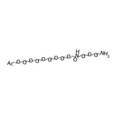 CC(=O)CCOCCOCCOCCOCCOCCOCCOCCOCCOCCC(=O)NCCOCCOCCOCCN